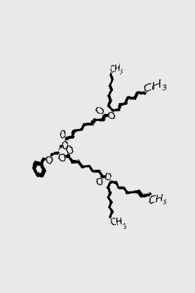 CCCCCCCCC(CCCCCCCC)OC(=O)CCCCCCCC(=O)OC[C@@H](COCc1ccccc1)OC(=O)CCCCCCC(=O)OC(CCCCCCCC)CCCCCCCC